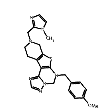 COc1ccc(CN2Cn3ncnc3-c3c2sc2c3CCN(Cc3nccn3C)C2)cc1